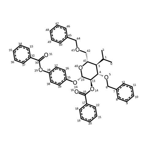 CC(C)[C@H]1[C@H](OCc2ccccc2)[C@@H](OC(=O)c2ccccc2)[C@H](Oc2ccc(OC(=O)c3ccccc3)cc2)O[C@@H]1COCc1ccccc1